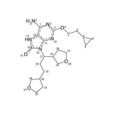 Nc1nc(OCCC2CC2)nc2c1[nH]c(=O)n2C(CCC1CCOC1)C1CCOC1